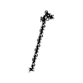 CC(C)(C)CCOCCOCCOCCOCCOCCOCCOCCOCCOCCn1cc(CN2C(=O)CC(C(C)(C)C)C2=O)nn1